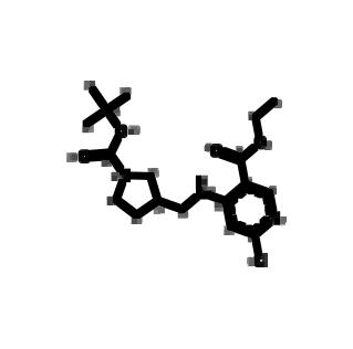 CCOC(=O)c1cnc(Cl)cc1NCC1CCN(C(=O)OC(C)(C)C)C1